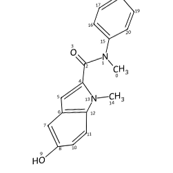 CN(C(=O)c1cc2cc(O)ccc2n1C)c1ccccc1